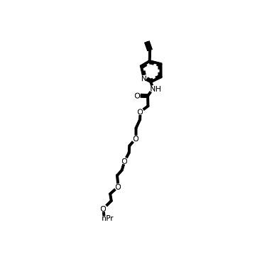 C#Cc1ccc(NC(=O)COCCOCCOCCOCCOCCC)nc1